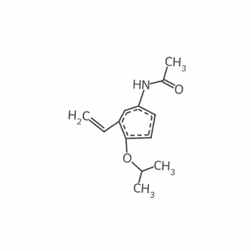 C=Cc1cc(NC(C)=O)ccc1OC(C)C